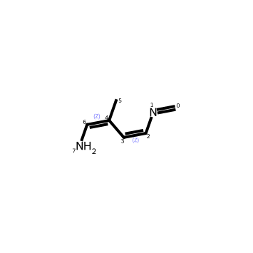 C=N/C=C\C(C)=C/N